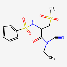 CCN(C#N)C(=O)C(CS(C)(=O)=O)NS(=O)(=O)c1ccccc1